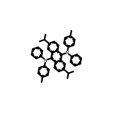 Cc1ccc(N(c2ccccc2)c2c3ccc(C(C)C)cc3c(N(c3ccccc3)c3ccc(C)cc3)c3ccc(C(C)C)cc23)cc1